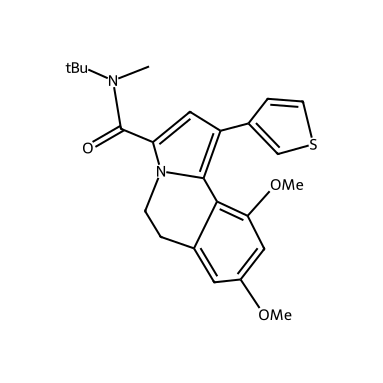 COc1cc2c(c(OC)c1)-c1c(-c3ccsc3)cc(C(=O)N(C)C(C)(C)C)n1CC2